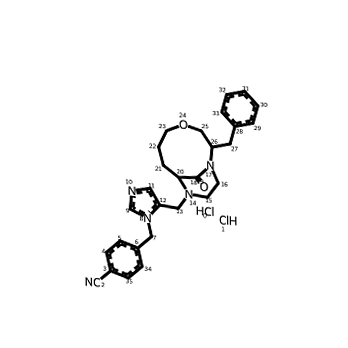 Cl.Cl.N#Cc1ccc(Cn2cncc2CN2CCN3C(=O)C2CCCOCC3Cc2ccccc2)cc1